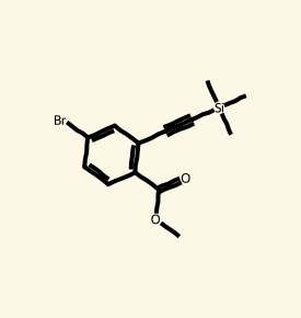 COC(=O)c1ccc(Br)cc1C#C[Si](C)(C)C